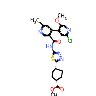 COc1cnc(Cl)cc1-c1cc(C)ncc1C(=O)Nc1nnc([C@H]2CC[C@@H](C(=O)OC)CC2)s1